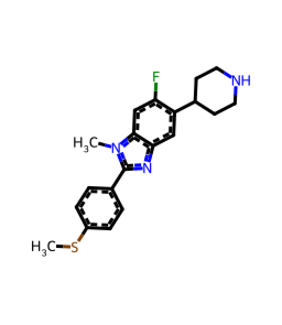 CSc1ccc(-c2nc3cc(C4CCNCC4)c(F)cc3n2C)cc1